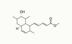 COC(=O)/C=C/C=C/C1C(C)C=C[C@H]2CC(C)[C@H](O)C(C)C12